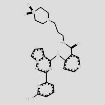 Cc1cccc(-c2nc(Nc3ccncc3C(=O)NCCCN3CCS(=O)(=O)CC3)c3cccn3n2)n1